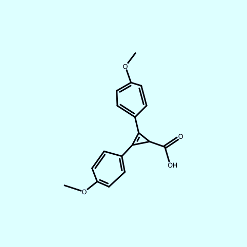 COc1ccc(C2=C(c3ccc(OC)cc3)C2C(=O)O)cc1